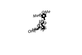 COc1ccc(CNC(=O)C(=O)C2CC(F)(F)CN2C(=O)CNC=O)cc1OC